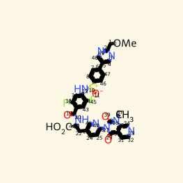 COCc1ncc(-c2ccc([S+]([O-])Nc3cc(F)c(C(=O)N[C@@H](Cc4ccc(-n5c(=O)c6ccncc6n(C)c5=O)nc4)C(=O)O)cc3F)cc2)cn1